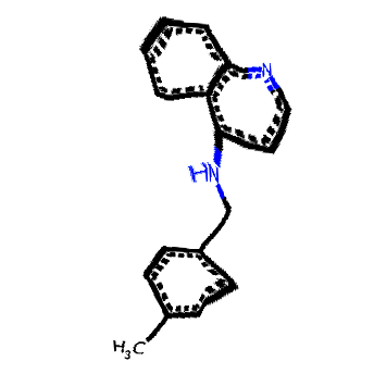 Cc1ccc(CNc2ccnc3ccccc23)cc1